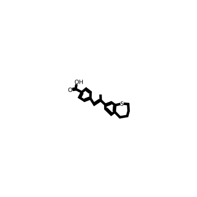 CC(=Cc1ccc(C(=O)O)cc1)c1ccc2c(c1)SCCCC2